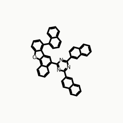 c1ccc2cc(-c3nc(-c4ccc5ccccc5c4)nc(-c4cc5c(oc6cccc(-c7cccc8ccccc78)c65)c5ccccc45)n3)ccc2c1